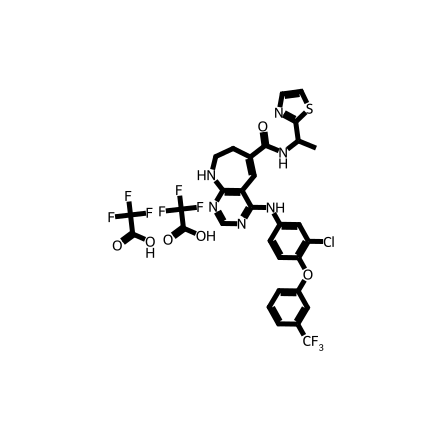 CC(NC(=O)C1=Cc2c(ncnc2Nc2ccc(Oc3cccc(C(F)(F)F)c3)c(Cl)c2)NCC1)c1nccs1.O=C(O)C(F)(F)F.O=C(O)C(F)(F)F